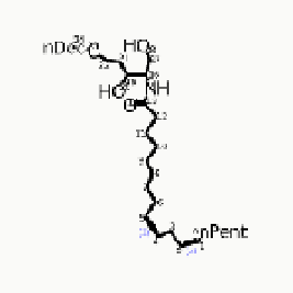 CCCCC/C=C\C/C=C\CCCCCCCC(=O)NC(CO)C(O)CCCCCCCCCCCCC